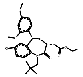 CCOC(=O)C[C@H]1O[C@H](c2ccc(OC)cc2OC)c2cc(Cl)ccc2N(CC(C)(C)C)C1=O